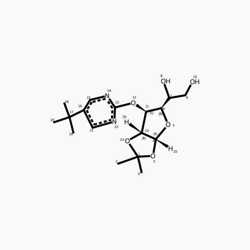 CC1(C)O[C@H]2O[C@H](C(O)CO)[C@H](Oc3ncc(C(C)(C)C)cn3)[C@H]2O1